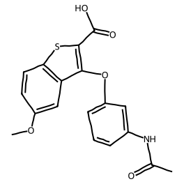 COc1ccc2sc(C(=O)O)c(Oc3cccc(NC(C)=O)c3)c2c1